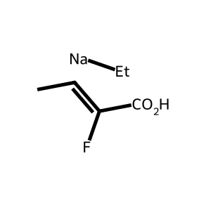 CC=C(F)C(=O)O.C[CH2][Na]